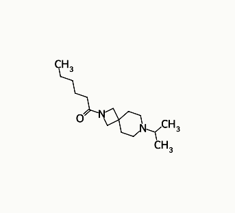 CCCCCC(=O)N1CC2(CCN(C(C)C)CC2)C1